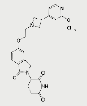 COc1cc(C2CN(CCOc3ccc4c(c3)CN(C3CCC(=O)NC3=O)C4=O)C2)ccn1